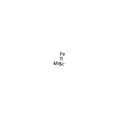 [Fe].[Mn].[Sc].[Ti]